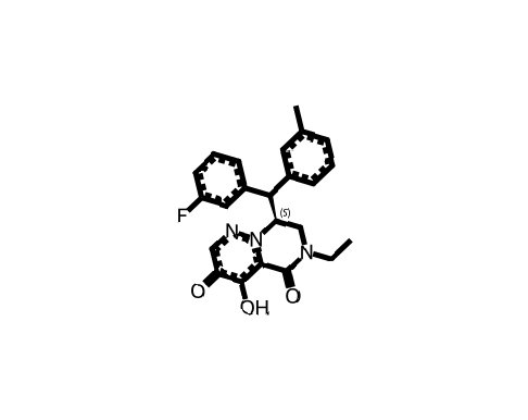 CCN1C[C@H](C(c2cccc(C)c2)c2cccc(F)c2)n2ncc(=O)c(O)c2C1=O